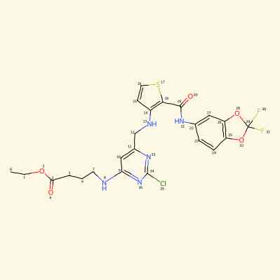 CCOC(=O)CCCNc1cc(CNc2ccsc2C(=O)Nc2ccc3c(c2)OC(F)(F)O3)nc(Cl)n1